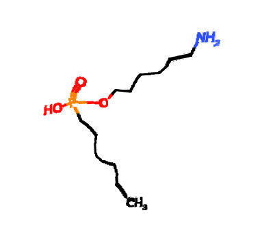 CCCCCCP(=O)(O)OCCCCCCN